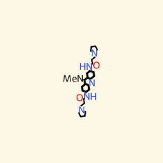 CNc1c2ccc(NC(=O)CCN3CCCC3)cc2nc2ccc(NC(=O)CCN3CCCC3)cc12